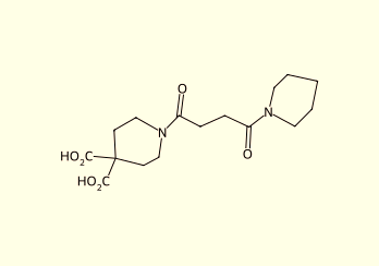 O=C(CCC(=O)N1CCC(C(=O)O)(C(=O)O)CC1)N1CCCCC1